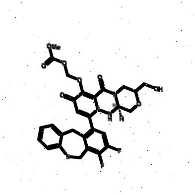 COC(=O)OCOc1c2n(c(-c3cc(F)c(F)c4c3Cc3ccccc3SC4)cc1=O)N[C@@H]1COC(CO)CN1C2=O